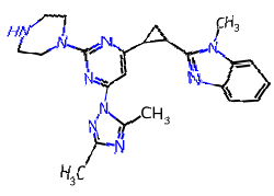 Cc1nc(C)n(-c2cc(C3CC3c3nc4ccccc4n3C)nc(N3CCNCC3)n2)n1